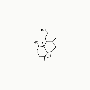 CC[C@@H](C)CC[C@H]1[C@@H](C)CC[C@H]2C(C)(C)CC[C@@H](O)[C@]12C